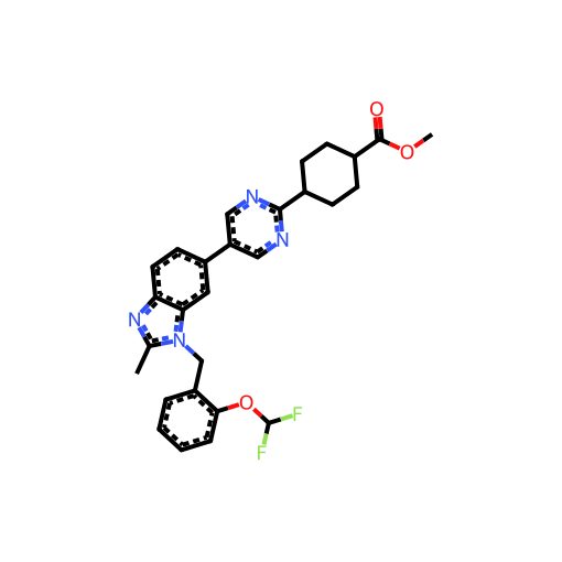 COC(=O)C1CCC(c2ncc(-c3ccc4nc(C)n(Cc5ccccc5OC(F)F)c4c3)cn2)CC1